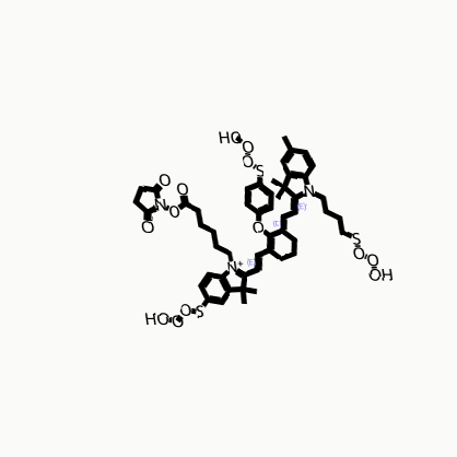 Cc1ccc2c(c1)C(C)(C)/C(=C\C=C1/CCCC(/C=C/C3=[N+](CCCCCC(=O)ON4C(=O)CCC4=O)c4ccc(SOOO)cc4C3(C)C)=C1Oc1ccc(SOOO)cc1)N2CCCCSOOO